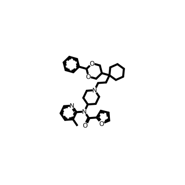 Cc1cccnc1N(C(=O)c1ccco1)C1CCN(CCC2(C3COC(c4ccccc4)OC3)CCCCC2)CC1